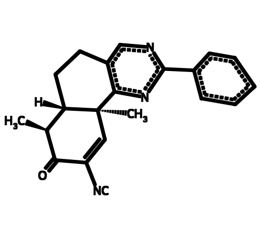 [C-]#[N+]C1=C[C@]2(C)c3nc(-c4ccccc4)ncc3CC[C@H]2[C@H](C)C1=O